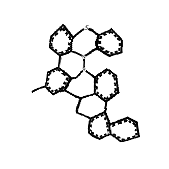 Cc1cc2c3c(c1)C1Cc4ccc5ccccc5c4-c4cccc(c41)B3N1c3ccccc3Sc3cccc-2c31